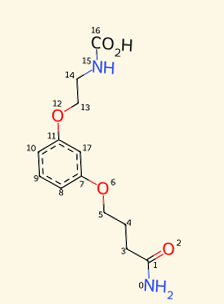 NC(=O)CCCOc1cccc(OCCNC(=O)O)c1